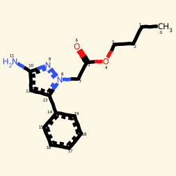 CCCCOC(=O)Cn1nc(N)cc1-c1ccccc1